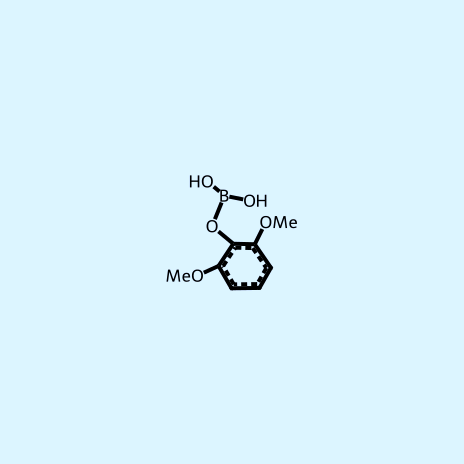 COc1cccc(OC)c1OB(O)O